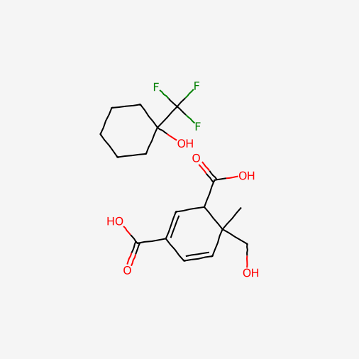 CC1(CO)C=CC(C(=O)O)=CC1C(=O)O.OC1(C(F)(F)F)CCCCC1